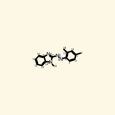 Cc1ccc(/N=N/c2nc3ccccc3n2C)c(C)c1